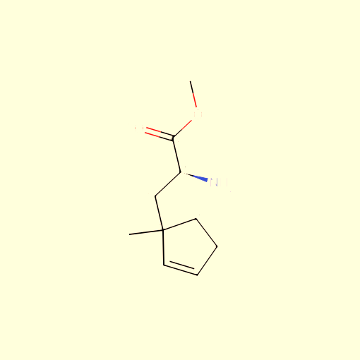 COC(=O)[C@@H](N)CC1(C)C=CCC1